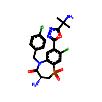 CC(C)(N)c1nnc(-c2cc3c(cc2F)S(=O)(=O)C[C@H](N)C(=O)N3Cc2ccc(Cl)cc2)o1